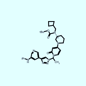 CC(C)Nc1cncc(-c2cn(C(C)n3ccc(N4CCC[C@@H](N(CC5CCC5)C(=O)OC(C)(C)C)C4)cc3=O)nn2)c1